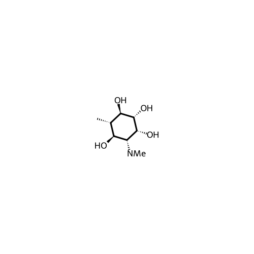 CN[C@@H]1[C@@H](O)[C@H](C)[C@@H](O)[C@H](O)[C@@H]1O